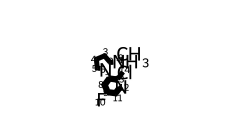 CNC1CCCN1c1cc(F)cnc1Cl